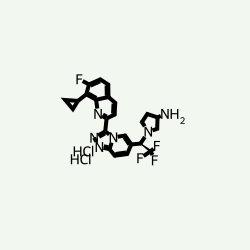 Cl.Cl.NC1CCN([C@H](c2ccc3nnc(-c4ccc5ccc(F)c(C6CC6)c5n4)n3c2)C(F)(F)F)C1